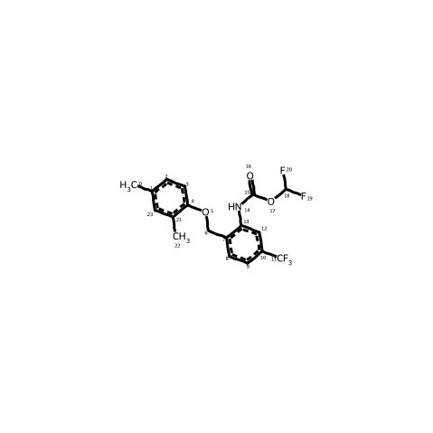 Cc1ccc(OCc2ccc(C(F)(F)F)cc2NC(=O)OC(F)F)c(C)c1